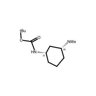 CN[C@@H]1CCC[C@H](NC(=O)OC(C)(C)C)C1